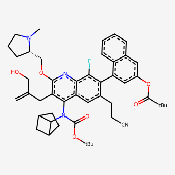 C=C(CO)Cc1c(OC[C@@H]2CCCN2C)nc2c(F)c(-c3cc(OC(=O)C(C)(C)C)cc4ccccc34)c(CCC#N)cc2c1N(C(=O)OC(C)(C)C)C1C2CCC1C2